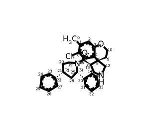 Cc1cc2c(cc1Cl)[C@]1(CCO2)CNC[C@H]1C(=O)N1CC[C@@H](c2ccccc2)C[C@H]1c1ccccc1